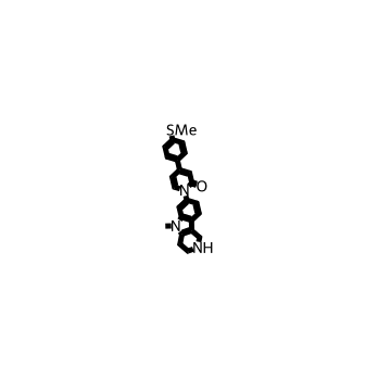 CSc1ccc(-c2ccn(-c3ccc4c5c(n(C)c4c3)CCNC5)c(=O)c2)cc1